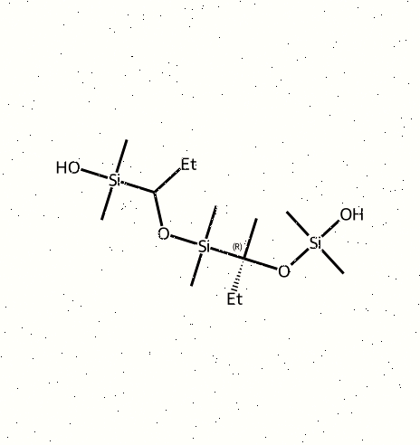 CCC(O[Si](C)(C)[C@](C)(CC)O[Si](C)(C)O)[Si](C)(C)O